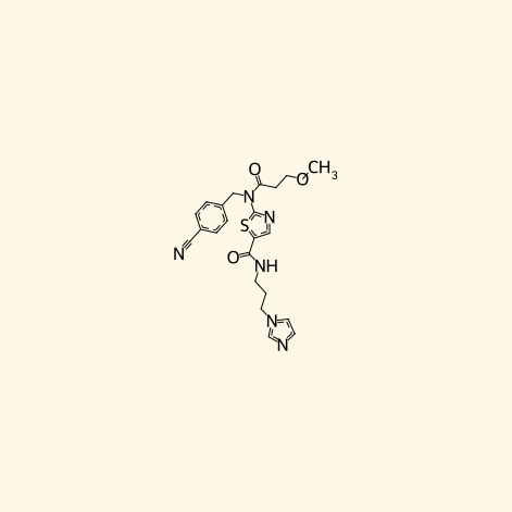 COCCC(=O)N(Cc1ccc(C#N)cc1)c1ncc(C(=O)NCCCn2ccnc2)s1